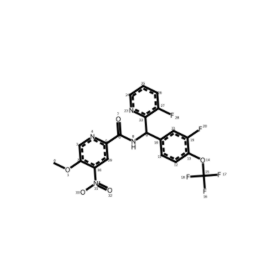 COc1cnc(C(=O)NC(c2ccc(OC(F)(F)F)c(F)c2)c2ncccc2F)cc1[N+](=O)[O-]